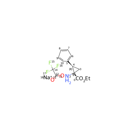 CCOC(=O)[C@]1(N)C[C@@H]1c1ccccc1.O=C([O-])C(F)(F)F.[Na+]